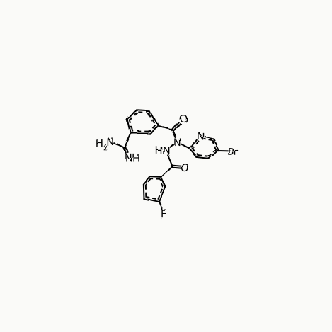 N=C(N)c1cccc(C(=O)N(NC(=O)c2cccc(F)c2)c2ccc(Br)cn2)c1